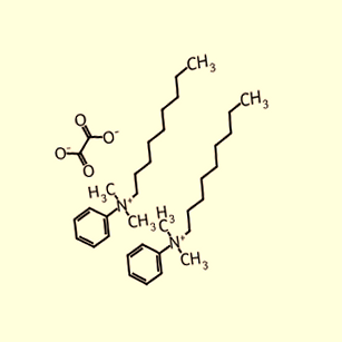 CCCCCCCCC[N+](C)(C)c1ccccc1.CCCCCCCCC[N+](C)(C)c1ccccc1.O=C([O-])C(=O)[O-]